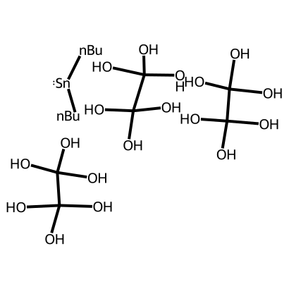 CCC[CH2][Sn][CH2]CCC.OC(O)(O)C(O)(O)O.OC(O)(O)C(O)(O)O.OC(O)(O)C(O)(O)O